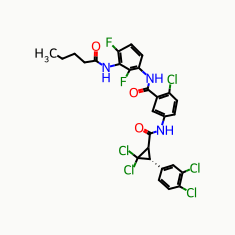 CCCCC(=O)Nc1c(F)ccc(NC(=O)c2cc(NC(=O)C3[C@H](c4ccc(Cl)c(Cl)c4)C3(Cl)Cl)ccc2Cl)c1F